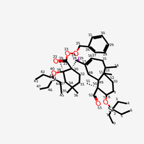 CC[Si](CC)(CC)OC1CCC2(C)C(C)CC=C(C(I)[C@]3(C(=O)OOCc4ccccc4)CCC(C)(C)C[C@@]3(C)O[Si](CC)(CC)CC)CC2[C@]1(C)C=O